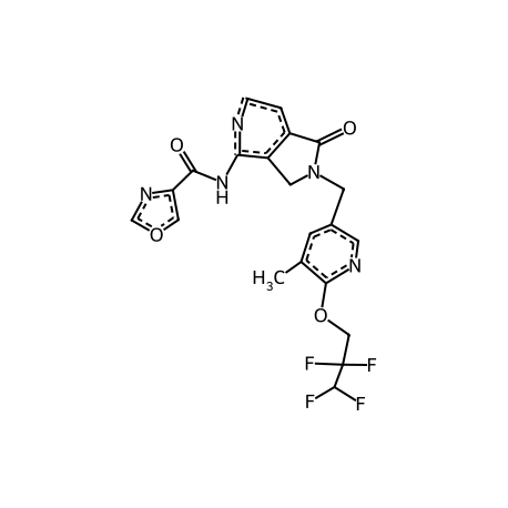 Cc1cc(CN2Cc3c(ccnc3NC(=O)c3cocn3)C2=O)cnc1OCC(F)(F)C(F)F